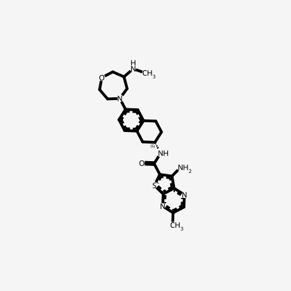 CNC1COCCN(c2ccc3c(c2)CC[C@H](NC(=O)c2sc4nc(C)cnc4c2N)C3)C1